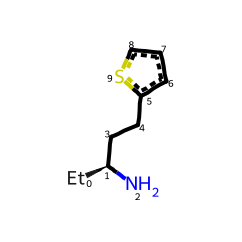 CC[C@H](N)CCc1cccs1